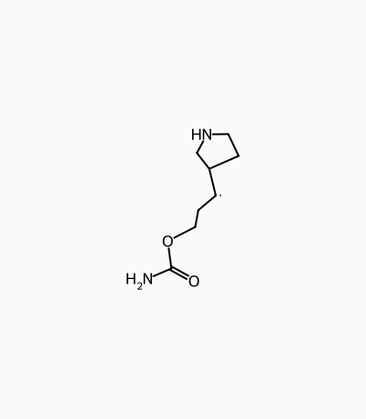 NC(=O)OCC[CH]C1CCNC1